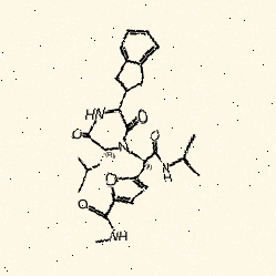 CNC(=O)c1ccc([C@H](C(=O)NC(C)C)N2C(=O)C(C3Cc4ccccc4C3)NC(=O)[C@H]2CC(C)C)o1